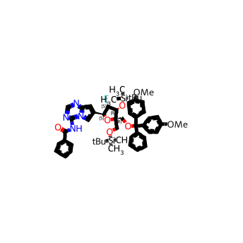 COc1ccc(C(OC[C@]2(CO[Si](C)(C)C(C)(C)C)O[C@@H](c3cc4ncnc(NC(=O)c5ccccc5)n4c3)[C@H](F)[C@@H]2O[Si](C)(C)C(C)(C)C)(c2ccccc2)c2ccc(OC)cc2)cc1